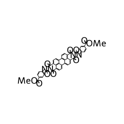 COC(=O)c1ccc2nc(N3C(=O)c4ccc5c6ccc7c8c(ccc(c9ccc(c4c59)C3=O)c86)C(=O)N(c3nc4ccc(C(=O)OC)cc4o3)C7=O)oc2c1